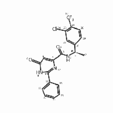 C[C@@H](NC(=O)c1cc(=O)[nH]c(-c2ccccc2)n1)c1ccc(C(F)(F)F)c(Cl)c1